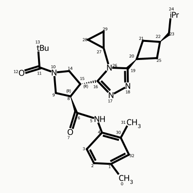 Cc1ccc(NC(=O)[C@H]2CN(C(=O)C(C)(C)C)C[C@@H]2c2nnc([C@H]3C[C@@H](CC(C)C)C3)n2C2CC2)c(C)c1